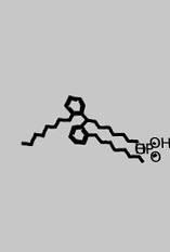 CCCCCCCCc1ccccc1C(CCCCCCCO[PH](=O)O)c1ccccc1CCCCCCCC